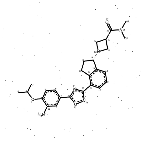 CC(C)Oc1ccc(-c2nc(-c3cccc4c3CC[C@@H]4N3CC(C(=O)N(C)C)C3)no2)cc1N